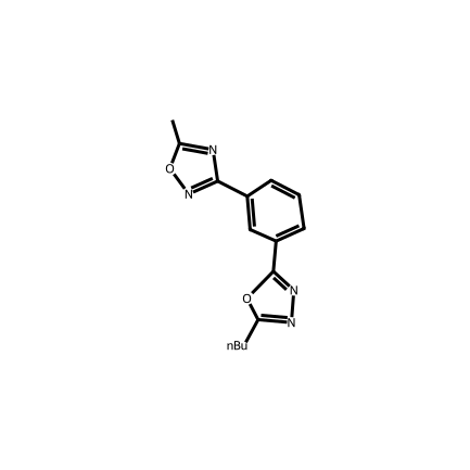 CCCCc1nnc(-c2cccc(-c3noc(C)n3)c2)o1